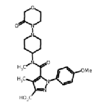 COc1ccc(-n2nc(C(=O)O)c(C)c2C(=O)N(C)C2CCN(N3CCOCC3=O)CC2)cc1